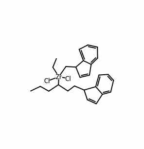 CCC[CH](CCC1C=Cc2ccccc21)[Zr]([Cl])([Cl])([CH2]C)[CH2]C1C=Cc2ccccc21